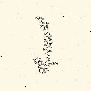 COc1cc2c(cc1OCCCC(=O)Nc1cc(C(=O)Nc3ccc(-c4cc(C(=O)NCCN)n(C)c4)cc3)n(C)c1)N(C(=O)O)C(OC1CCCCO1)[C@@H]1CCCCN1C2=O